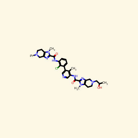 Cc1c(NC(=O)c2nc3c(n2C)CCN(CC(C)O)C3)cncc1-c1cccc(NC(=O)c2nc3c(n2C)CCN(C(C)C)C3)c1Cl